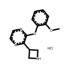 COc1ccccc1Oc1nccnc1C1CNC1.Cl